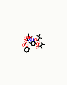 CCC(C)N[C@@](Cc1ccc(OC(=O)C(C)C(C)C)c(OC(=O)C(C)C(C)C)c1)(OC(=O)OC1CCCCC1)C(=O)O